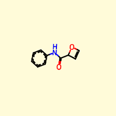 O=C(Nc1ccccc1)C1C=CO1